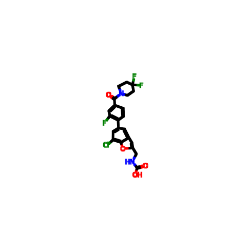 O=C(O)NCc1cc2cc(-c3ccc(C(=O)N4CCC(F)(F)CC4)cc3F)cc(Cl)c2o1